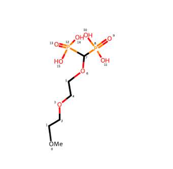 COCCOCCOC(P(=O)(O)O)P(=O)(O)O